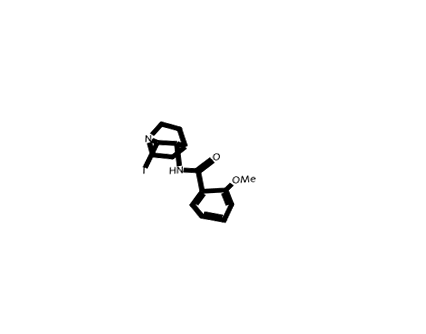 COc1ccccc1C(=O)NC1C2CCN(CC2)C1I